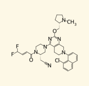 CN1CCC[C@H]1COc1nc2c(c(N3CCN(C(=O)/C=C/C(F)F)[C@@H](CC#N)C3)n1)CCN(c1cccc3cccc(Cl)c13)C2